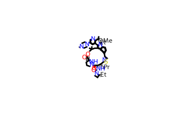 CCC[C@@H]1c2nc(cs2)-c2ccc3c(c2)c(c(-c2cc(N4CCN(C)CC4)cnc2[C@H](C)OC)n3CC)CC(C)(C)COC(=O)[C@@H]2CCCN(N2)C(=O)[C@H]1NC(=O)N1CC[C@H]1CC